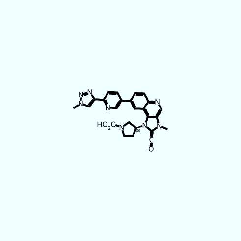 CN1C(=C=O)N([C@H]2CCN(C(=O)O)C2)c2c1cnc1ccc(-c3ccc(-c4cn(C)nn4)nc3)cc21